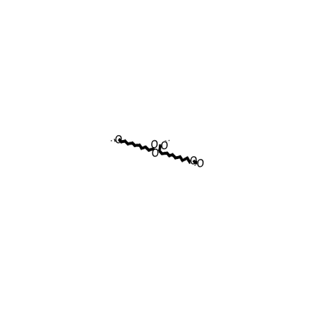 [CH2]OCCCCCCCCCC(=O)OC(CCCCCCCCCO[C]=O)CO[CH2]